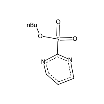 CCCCOS(=O)(=O)c1ncccn1